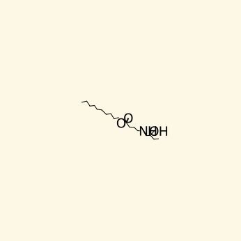 CCCCCCCCCCOC(=O)CCCNCC(O)CC